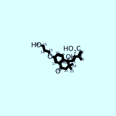 CC(=C/C(=O)O)/C=C/[C@@]1(O)c2ccc(OCCCO)cc2C(=O)CC1(C)C